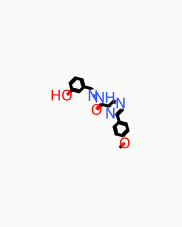 COc1ccc(-c2cncc(C(=O)N/N=C/c3cccc(O)c3)n2)cc1